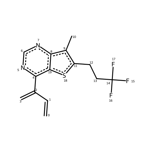 C=CC(=C)c1ncnc2c(C)c(CCC(F)(F)F)sc12